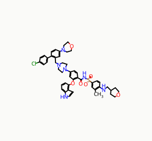 Cc1cc(S(=O)(=O)NC(=O)c2ccc(N3CCN(Cc4cc(N5CCOCC5)ccc4-c4ccc(Cl)cc4)CC3)cc2Oc2cccc3[nH]ccc23)ccc1NCC1CCOCC1